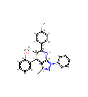 Cc1nn(-c2ccccc2)c2nc(-c3ccc(I)cc3)c(C#N)c(-c3ccccc3O)c12